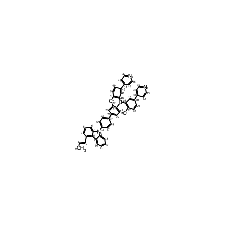 CC=Cc1cccc2c1c1ccccc1n2-c1ccc(-c2cc3c4c(c2)Oc2ccc(-c5ccncc5)cc2B4c2cc(-c4ccncc4)ccc2O3)cc1